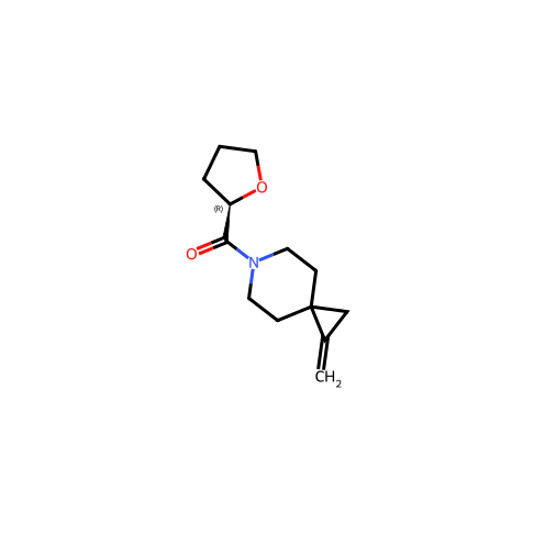 C=C1CC12CCN(C(=O)[C@H]1CCCO1)CC2